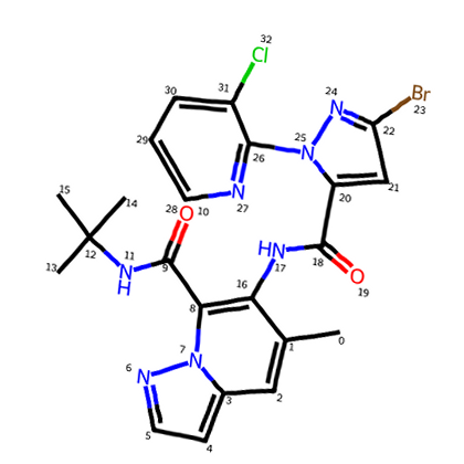 Cc1cc2ccnn2c(C(=O)NC(C)(C)C)c1NC(=O)c1cc(Br)nn1-c1ncccc1Cl